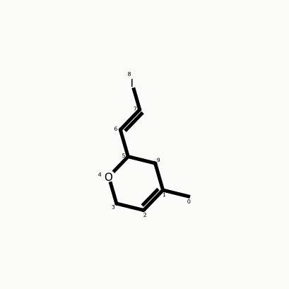 CC1=CCOC(C=CI)C1